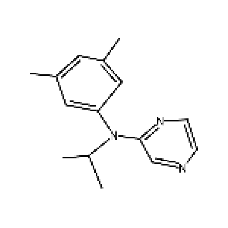 Cc1cc(C)cc(N(c2cnccn2)C(C)C)c1